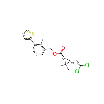 Cc1c(COC(=O)[C@H]2[C@H](C=C(Cl)Cl)C2(C)C)cccc1-c1cccs1